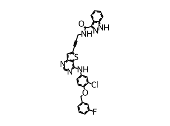 O=C(NCC#Cc1cc2ncnc(Nc3ccc(OCc4cccc(F)c4)c(Cl)c3)c2s1)c1n[nH]c2ccccc12